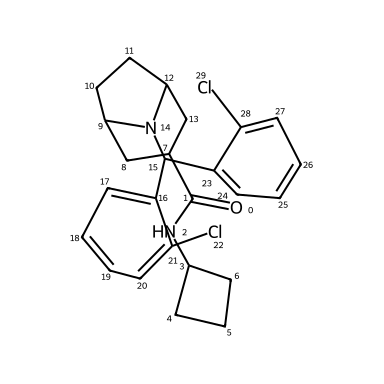 O=C(NC1CCC1)C1CC2CCC(C1)N2C(c1ccccc1Cl)c1ccccc1Cl